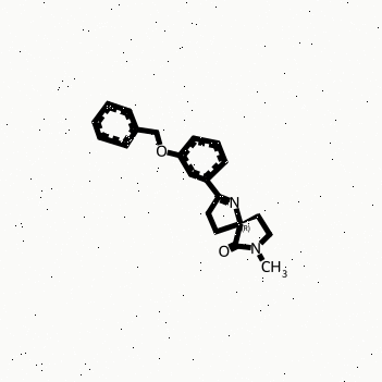 CN1CC[C@]2(CCC(c3cccc(OCc4ccccc4)c3)=N2)C1=O